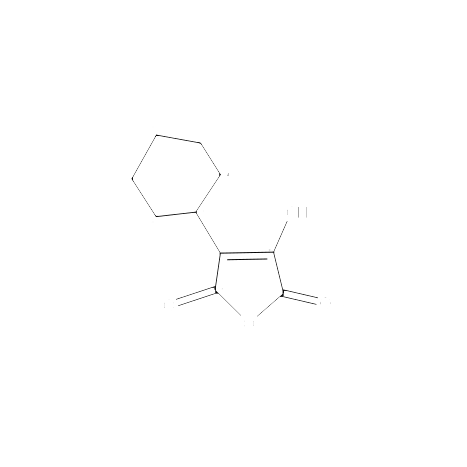 CC1=C(C2CCCCC2)C(=O)OC1=O